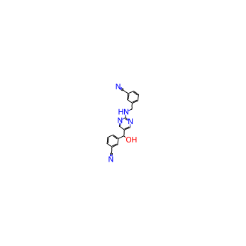 N#Cc1cccc(CNc2ncc(C(O)c3cccc(C#N)c3)cn2)c1